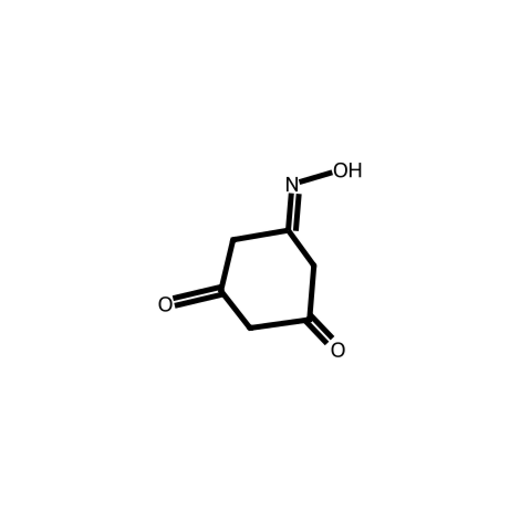 O=C1CC(=O)CC(=NO)C1